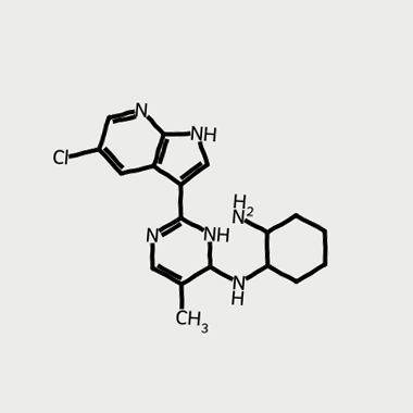 CC1=CN=C(c2c[nH]c3ncc(Cl)cc23)NC1NC1CCCCC1N